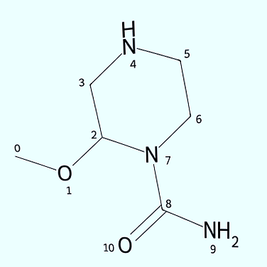 COC1CNCCN1C(N)=O